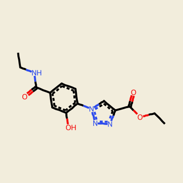 CCNC(=O)c1ccc(-n2cc(C(=O)OCC)nn2)c(O)c1